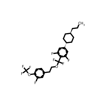 CCC[C@H]1CC[C@H](c2cc(F)c(C(F)(F)OCCc3ccc(OC(F)(F)F)c(F)c3)c(F)c2)CC1